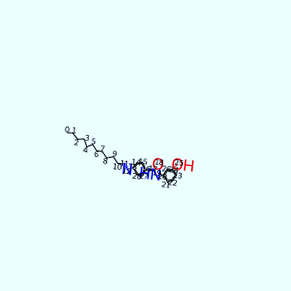 CCCCCCCCCCC/C=N/c1ccc(C(=O)Nc2cccc(O)c2)cc1